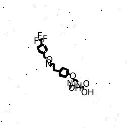 O=C(O)NCC(=NO)Oc1ccc(CC=NOCc2ccc(C(F)(F)F)cc2)cc1